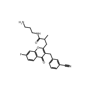 CC([CH]c1oc2cc(F)ccc2c(=O)c1Cc1cccc(C#N)c1)C(=O)NCCCN